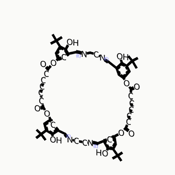 CC(C)(C)c1cc2cc(c1O)/C=N/CC/N=C/c1cc(cc(C(C)(C)C)c1O)OC(=O)CCCCCC(=O)Oc1cc(c(O)c(C(C)(C)C)c1)/C=N/CC/N=C/c1cc(cc(C(C)(C)C)c1O)OC(=O)CCCCCC(=O)O2